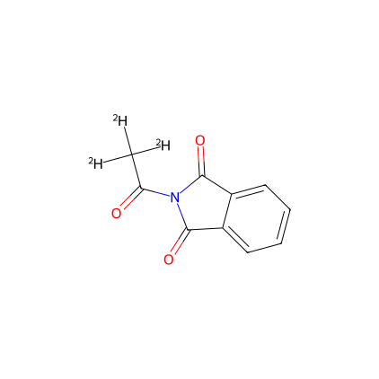 [2H]C([2H])([2H])C(=O)N1C(=O)c2ccccc2C1=O